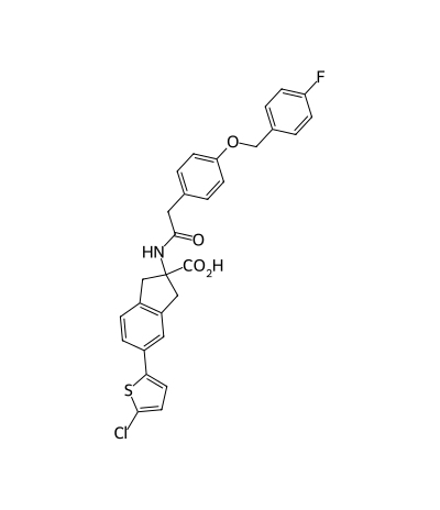 O=C(Cc1ccc(OCc2ccc(F)cc2)cc1)NC1(C(=O)O)Cc2ccc(-c3ccc(Cl)s3)cc2C1